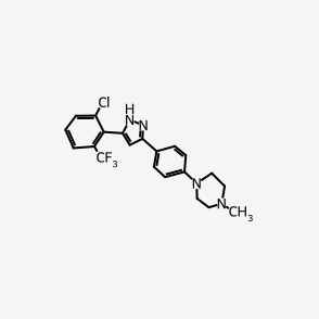 CN1CCN(c2ccc(-c3cc(-c4c(Cl)cccc4C(F)(F)F)[nH]n3)cc2)CC1